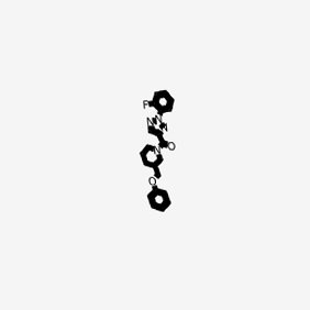 O=C(c1cnn(-c2ccccc2F)n1)N1CCCC(COc2ccccc2)C1